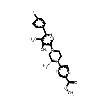 COC(=O)c1cnc(N2CCN(c3nnc(-c4ccc(F)cc4)c(C)c3C)C[C@H]2C)cn1